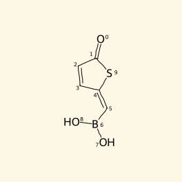 O=C1C=C/C(=C\B(O)O)S1